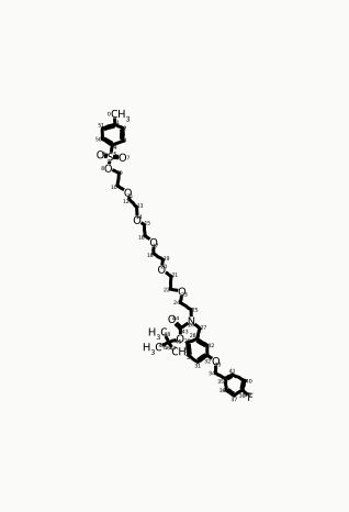 Cc1ccc(S(=O)(=O)OCCOCCOCCOCCOCCOCCN(Cc2cccc(OCc3ccc(F)cc3)c2)C(=O)OC(C)(C)C)cc1